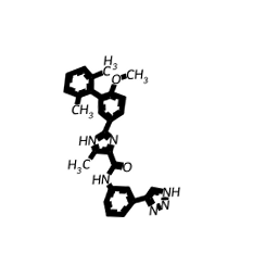 COc1ccc(-c2nc(C(=O)Nc3cccc(-c4c[nH]nn4)c3)c(C)[nH]2)cc1-c1c(C)cccc1C